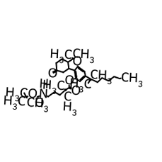 CCCCCCC(C)(C)c1cc(OC(=O)C(C)(C)CCCNC(=O)OC(C)(C)C)c2c(c1)OC(C)(C)C1CCC(=O)CC21